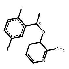 C[C@@H](OC1CC=CN=C1N)c1cc(F)ccc1I